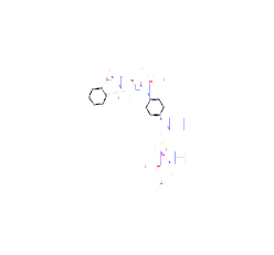 CC(C)(C)OC(=O)NOCCNc1ccc(N2C[C@H](CN3C(=O)c4ccccc4C3=O)OC2=O)cc1